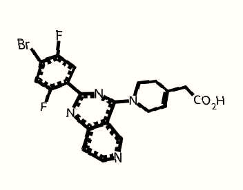 O=C(O)CC1=CCN(c2nc(-c3cc(F)c(Br)cc3F)nc3ccncc23)CC1